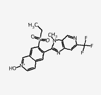 CCS(=O)(=O)c1cc2c[n+](O)ccc2cc1-c1nc2cc(C(F)(F)F)ncc2n1C